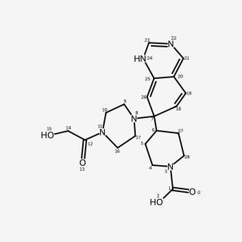 O=C(O)N1CCC(C2(N3CCN(C(=O)CO)CC3)C=CC3=CN=CNC3=C2)CC1